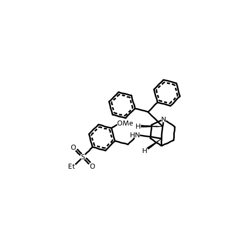 CCS(=O)(=O)c1ccc(OC)c(CN[C@H]2C3CCN(CC3)[C@H]2C(c2ccccc2)c2ccccc2)c1